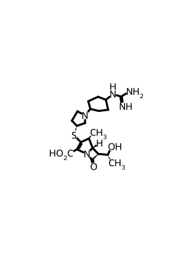 C[C@@H](O)[C@H]1C(=O)N2C(C(=O)O)=C(S[C@@H]3CCN(C4CCC(NC(=N)N)CC4)C3)[C@H](C)[C@H]12